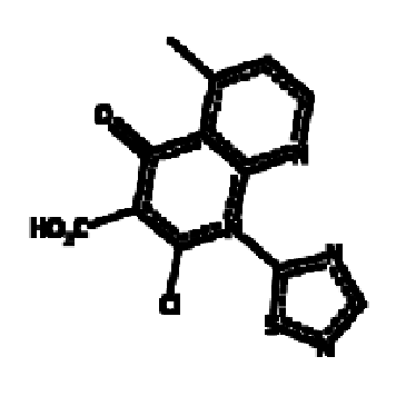 Cc1ccnc2c1c(=O)c(C(=O)O)c(Cl)n2-c1ncns1